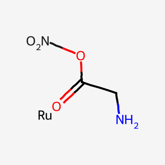 NCC(=O)O[N+](=O)[O-].[Ru]